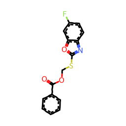 O=C(OCSc1nc2ccc(F)cc2o1)c1ccccc1